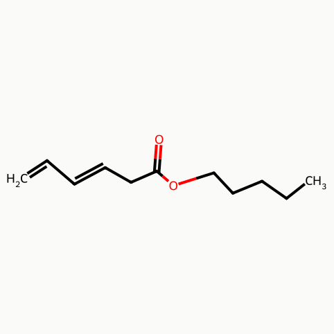 C=CC=CCC(=O)OCCCCC